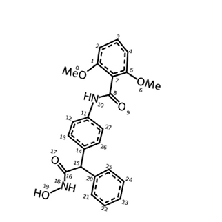 COc1cccc(OC)c1C(=O)Nc1ccc(C(C(=O)NO)c2ccccc2)cc1